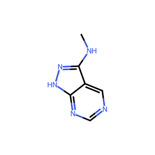 CNc1n[nH]c2ncncc12